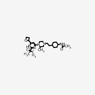 CC(=O)NC1CCC(CCN2CCN(c3cc(C4CCO4)nc(C(C)(C)C)n3)C(C)C2)CC1